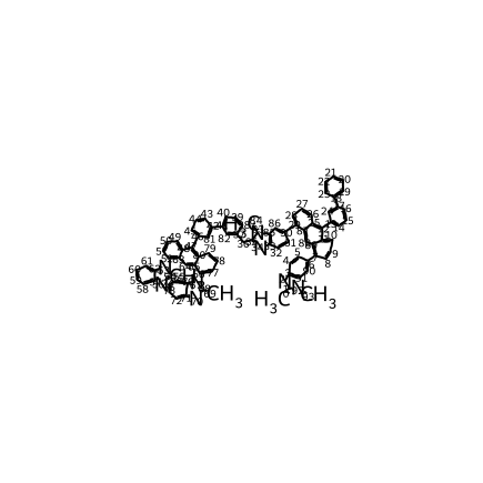 Cc1nc2ccc(-c3cccc4c(-c5cccc(-c6ccccc6)c5)c5cccc(-c6ccc7nc(Cc8cccc(-c9cccc(-c%10c%11cccc(-n%12c(C)nc%13ccccc%13%12)c%11cc%11c(-n%12c(C)nc%13ccccc%13%12)cccc%10%11)c9)c8)n(C)c7c6)c5cc34)cc2n1C